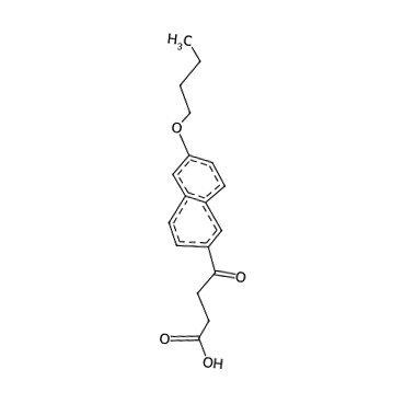 CCCCOc1ccc2cc(C(=O)CCC(=O)O)ccc2c1